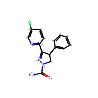 NC(=O)N1CC(c2ccccc2)C(c2ccc(Cl)cn2)=N1